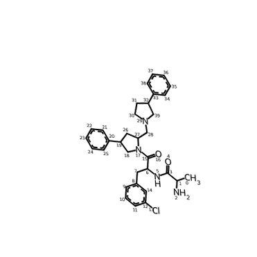 CC(N)C(=O)NC(Cc1cccc(Cl)c1)C(=O)N1CC(c2ccccc2)CC1CN1CCC(c2ccccc2)C1